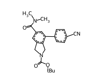 CN(C)C(=O)c1cc2c(c(-c3ccc(C#N)cc3)c1)CN(C(=O)OC(C)(C)C)C2